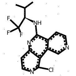 CC(C)[C@@H](Nc1nc2ccnc(Cl)c2c2cnccc12)C(F)(F)F